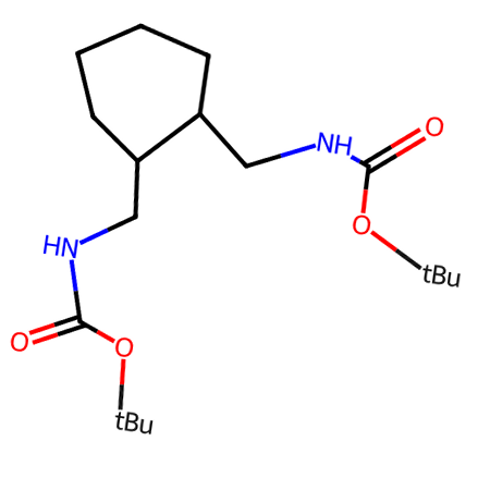 CC(C)(C)OC(=O)NCC1CCCCC1CNC(=O)OC(C)(C)C